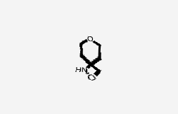 [CH]1ONC12CCOCC2